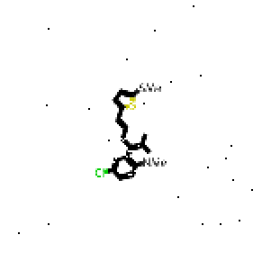 CNc1ccc(Cl)cc1C(C/C=C/c1ccc(SC)s1)=C(C)C